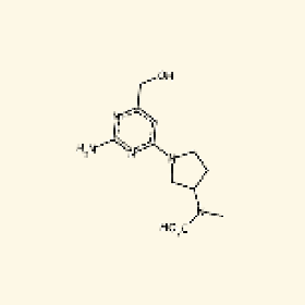 CN(C(=O)O)C1CCN(c2cc(CO)nc(N)n2)C1